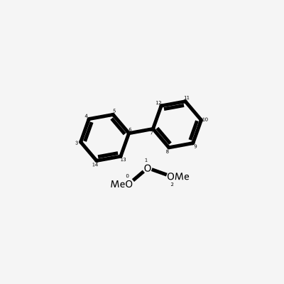 COOOC.c1ccc(-c2ccccc2)cc1